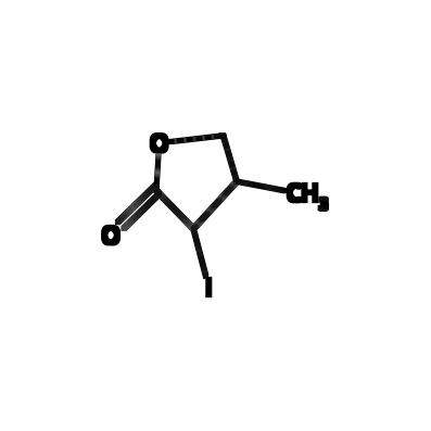 CC1COC(=O)C1I